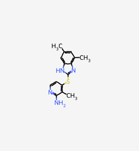 Cc1cc(C)c2nc(Sc3ccnc(N)c3C)[nH]c2c1